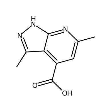 Cc1cc(C(=O)O)c2c(C)n[nH]c2n1